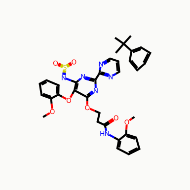 CC(C)(C)c1ccccc1.COc1ccccc1NC(=O)CCOc1nc(-c2ncccn2)nc(N=S(=O)=O)c1Oc1ccccc1OC